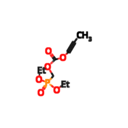 CC#COC(=O)OCP(=O)(OCC)OCC